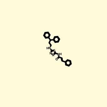 O=C(/C=C/c1ccccc1)Nc1nnc(NCCC(c2ccccc2)c2ccccc2)s1